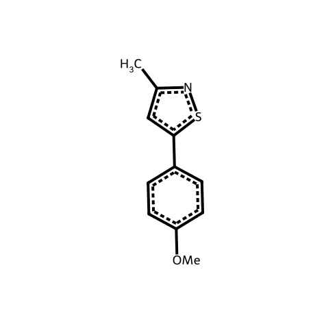 COc1ccc(-c2cc(C)ns2)cc1